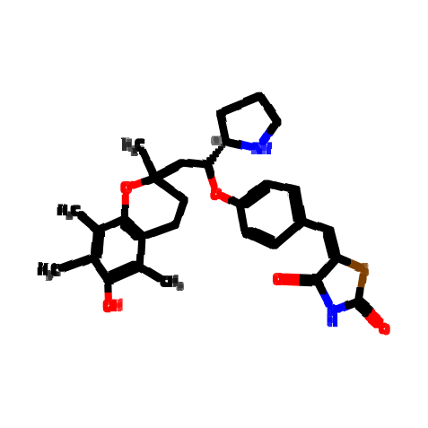 Cc1c(C)c2c(c(C)c1O)CCC(C)(CC(Oc1ccc(C=C3SC(=O)NC3=O)cc1)[C@@H]1CCCN1)O2